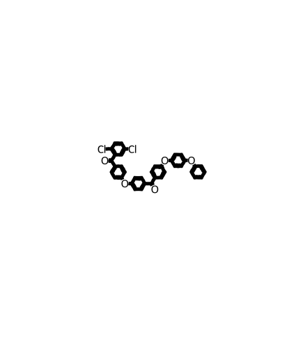 O=C(c1ccc(Oc2ccc(Oc3ccccc3)cc2)cc1)c1ccc(Oc2ccc(C(=O)c3cc(Cl)ccc3Cl)cc2)cc1